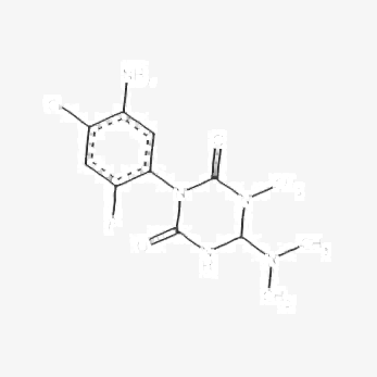 CN(C)C1NC(=O)N(c2cc(N)c(Cl)cc2F)C(=O)N1C